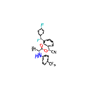 CC(C)C(Nc1ccc(C(F)(F)F)cc1)C(=O)OC(C#N)c1cccc(C(F)c2ccc(F)cc2)c1